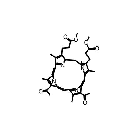 COC(=O)CCC1=C(C)C2=NC1Cc1[nH]c(c(C)c1CCC(=O)OC)/C=C1N=C(/C=c3\[nH]/c(c(C)c3C(C)=O)=C\2)C(C)=C\1C(C)=O